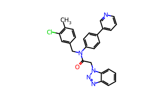 Cc1ccc(CN(C(=O)Cn2nnc3ccccc32)c2ccc(-c3cccnc3)cc2)cc1Cl